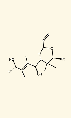 C=CC1O[C@@H](CC)C(C)(C)[C@H]([C@@H](O)/C(C)=C(\C)[C@H](C)O)O1